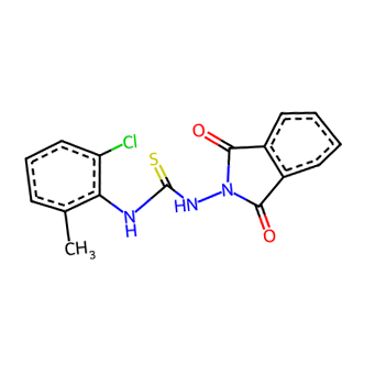 Cc1cccc(Cl)c1NC(=S)NN1C(=O)c2ccccc2C1=O